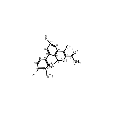 CC1=C(C(N)=O)NC(C)c2c1cc(F)cc2-c1ccc(F)c(C)c1